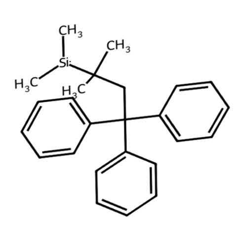 C[Si](C)C(C)(C)CC(c1ccccc1)(c1ccccc1)c1ccccc1